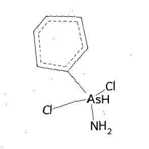 N[AsH](Cl)(Cl)c1ccccc1